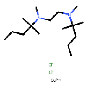 CCCC(C)(C)N(C)CCN(C)C(C)(C)CCC.[Cl-].[Cl-].[Cu+2]